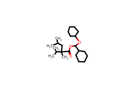 CC(C)CC(C)(C(=O)OC(OC1CCCCC1)C1CCCCC1)C(C)C